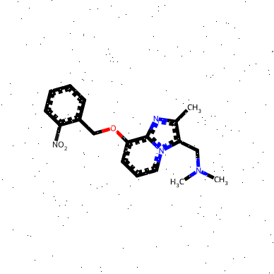 Cc1nc2c(OCc3ccccc3[N+](=O)[O-])cccn2c1CN(C)C